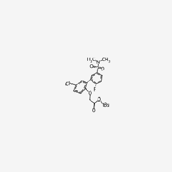 CN(C)S(=O)(=O)c1ccc(F)c(-c2cc(Cl)ccc2OCC(=O)OC(C)(C)C)c1